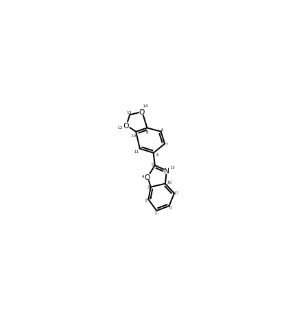 c1ccc2oc(-c3ccc4c(c3)OCO4)nc2c1